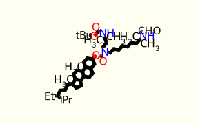 CCC(CCCC1CCC2C3CC=C4CC(OC(=O)N(CCCCCCCC(C)(C)NC=O)CCC(C)(C)NC(=O)OC(C)(C)C)CCC4(C)C3CCC12C)C(C)C